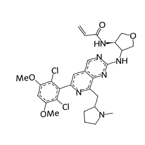 C=CC(=O)N[C@H]1COCC1Nc1ncc2cc(-c3c(Cl)c(OC)cc(OC)c3Cl)nc(CC3CCCN3C)c2n1